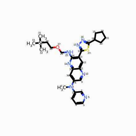 CN(c1cccnc1)c1cnc2cc(-c3nnc(C4CCCC4)s3)c(NCOCC[Si](C)(C)C)nc2c1